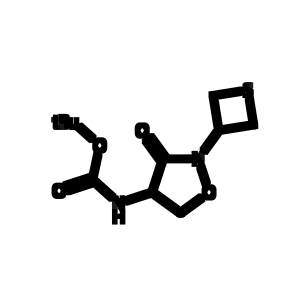 CC(C)(C)OC(=O)NC1CON(C2CSC2)C1=O